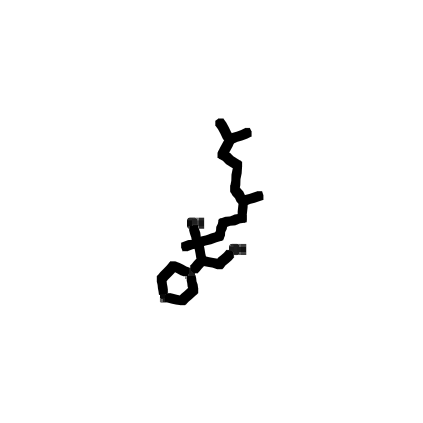 CC(C)CCCC(C)CCCC(C)(O)C(CO)N1CCSCC1